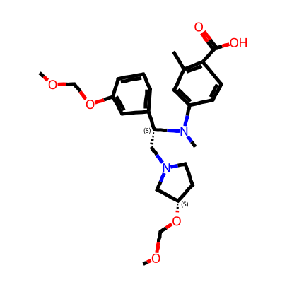 COCOc1cccc([C@@H](CN2CC[C@H](OCOC)C2)N(C)c2ccc(C(=O)O)c(C)c2)c1